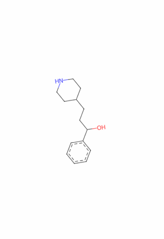 OC(CCC1CCNCC1)c1ccccc1